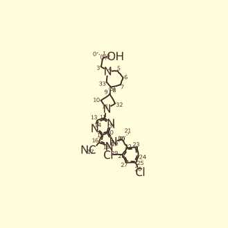 C[C@H](O)CN1CCC[C@@H](C2CN(c3cnc4c(C#N)nn([C@H](C)c5ccc(Cl)cc5Cl)c4n3)C2)C1